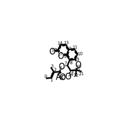 C/C=C(\C)C(=O)O[C@@H]1c2c(ccc3ccc(=O)oc23)OC(C)(C)[C@@H]1OC(C)=O